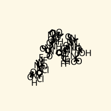 CCS(=O)(=O)c1cccnc1S(=O)(=O)NC(=O)Nc1nc(OC)cc(OC)n1.COc1nc(C)nc(NC(=O)NS(=O)(=O)c2ccccc2CCC(F)(F)F)n1.CP(=O)(O)CCC(N)C(=O)O.Cc1nn(-c2cc(NS(C)(=O)=O)c(Cl)cc2Cl)c(=O)n1C(F)F